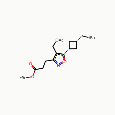 CC(=O)OCc1c(CCC(=O)OC(C)(C)C)noc1[C@H]1C[C@@H](CC(C)(C)C)C1